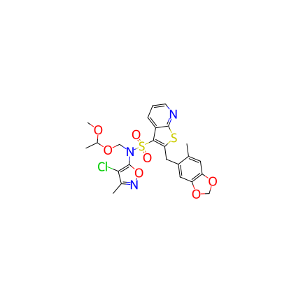 COC(C)OCN(c1onc(C)c1Cl)S(=O)(=O)c1c(Cc2cc3c(cc2C)OCO3)sc2ncccc12